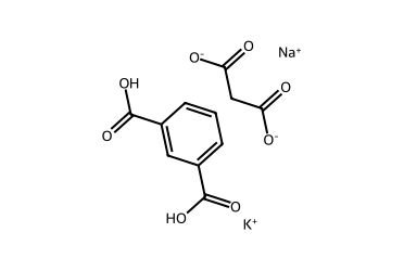 O=C(O)c1cccc(C(=O)O)c1.O=C([O-])CC(=O)[O-].[K+].[Na+]